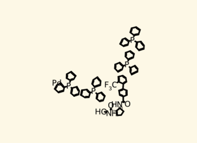 O=C(N[C@@H]1CCC[C@@H]1C(=O)NO)c1ccc(-c2ccccc2C(F)(F)F)cc1.[Pd].c1ccc(P(c2ccccc2)c2ccccc2)cc1.c1ccc(P(c2ccccc2)c2ccccc2)cc1.c1ccc(P(c2ccccc2)c2ccccc2)cc1.c1ccc(P(c2ccccc2)c2ccccc2)cc1